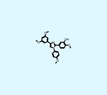 COc1ccc(-n2cc(-c3cc(OC)cc(OC)c3)nc2-c2ccc(OC)c(O)c2)cc1